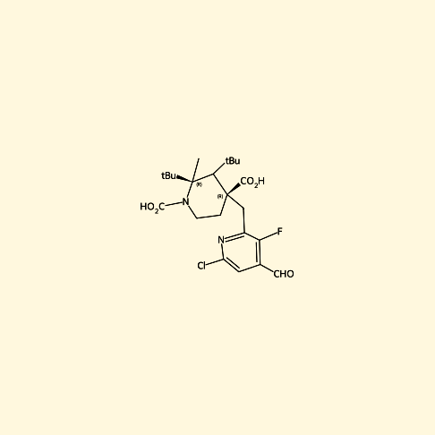 CC(C)(C)C1[C@@](Cc2nc(Cl)cc(C=O)c2F)(C(=O)O)CCN(C(=O)O)[C@@]1(C)C(C)(C)C